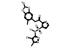 [2H]C1Oc2cc(C)c(CC(=O)c3sccc3S(=O)(=O)N([2H])c3onc(C)c3Cl)cc2O1